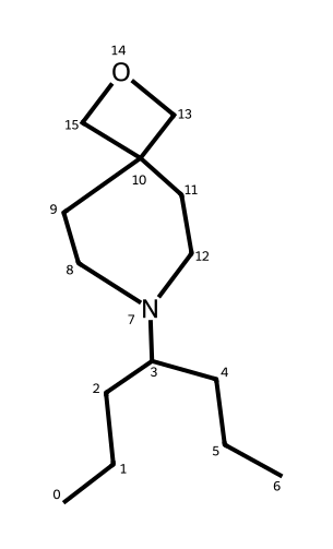 CCCC(CCC)N1CCC2(CC1)COC2